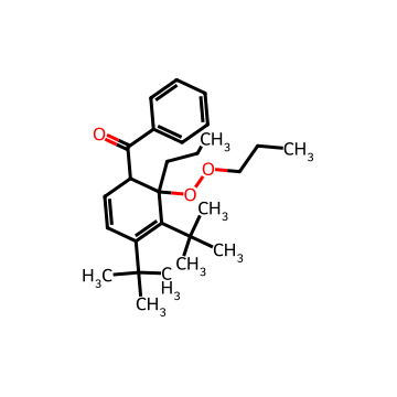 CCCOOC1(CCC)C(C(C)(C)C)=C(C(C)(C)C)C=CC1C(=O)c1ccccc1